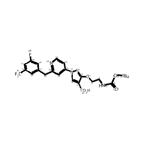 CC(C)(C)OC(=O)NCCOc1nn(-c2ccnc(Cc3cc(F)cc(C(F)(F)F)c3)c2)cc1C(=O)O